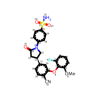 COc1cccc(F)c1Oc1cc([C@H]2CC(=O)N(c3ccc(S(N)(=O)=O)cc3)C2)ccc1C#N